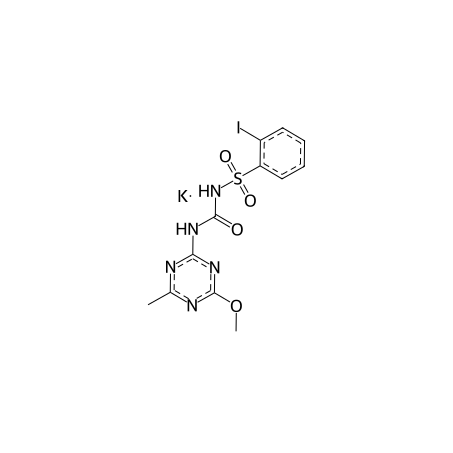 COc1nc(C)nc(NC(=O)NS(=O)(=O)c2ccccc2I)n1.[K]